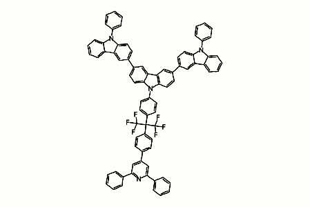 FC(F)(F)C(c1ccc(-c2cc(-c3ccccc3)nc(-c3ccccc3)c2)cc1)(c1ccc(-n2c3ccc(-c4ccc5c(c4)c4ccccc4n5-c4ccccc4)cc3c3cc(-c4ccc5c(c4)c4ccccc4n5-c4ccccc4)ccc32)cc1)C(F)(F)F